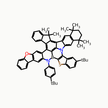 CC(C)(C)c1ccc(N2B3c4sc5ccc(C(C)(C)C)cc5c4-n4c5cc6c(cc5c5c7c(c(c3c54)-c3cc4oc5ccccc5c4cc32)-c2ccccc2C7(C)C)C(C)(C)CCC6(C)C)cc1